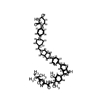 Cc1cc(-c2n[nH]c3ncc(-c4ccc(N5CC6CN(CC7CCN(c8ccc(N9CCC(=O)NC9=O)cc8)CC7)CC6C5)cn4)cc23)ccc1C(C)NC(=O)c1noc(C(C)(C)C)n1